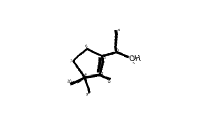 CC1=C(C(C)O)CCC1(C)C